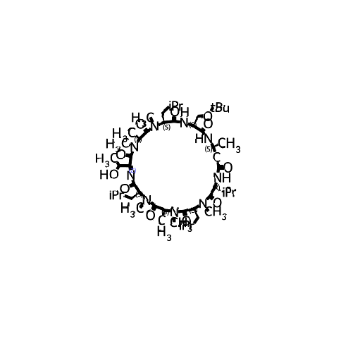 CC(C)C[C@H]1C(=O)N(C)[C@@H](C)C(=O)N(C)[C@@H](CC(C)C)C(=O)/N=C(/C(C)O)C(=O)N(C)[C@@H](C)C(=O)N(C)[C@@H](CC(C)C)C(=O)N[C@@H](COC(C)(C)C)C(=O)N[C@@H](C)CC(=O)N[C@H](C(C)C)C(=O)N1C